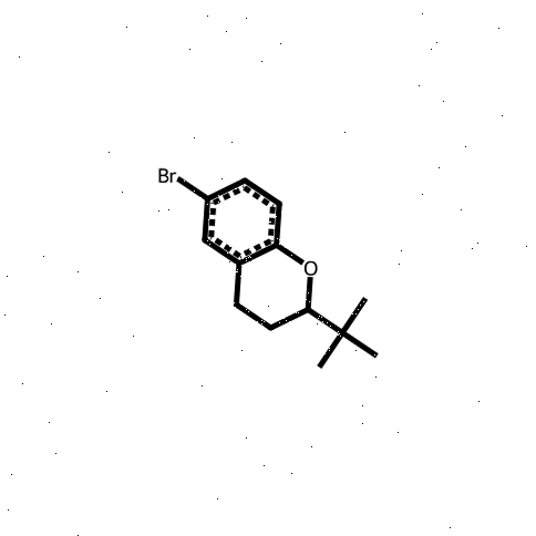 CC(C)(C)C1CCc2cc(Br)ccc2O1